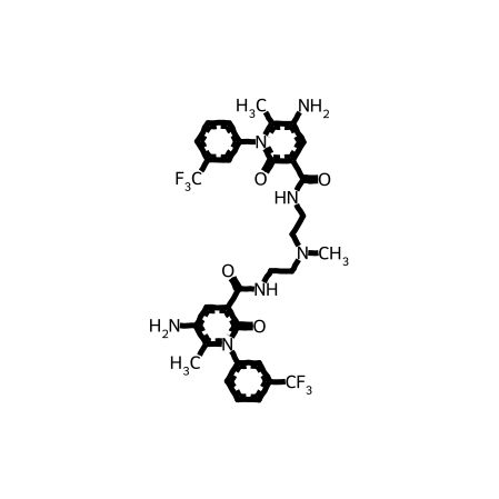 Cc1c(N)cc(C(=O)NCCN(C)CCNC(=O)c2cc(N)c(C)n(-c3cccc(C(F)(F)F)c3)c2=O)c(=O)n1-c1cccc(C(F)(F)F)c1